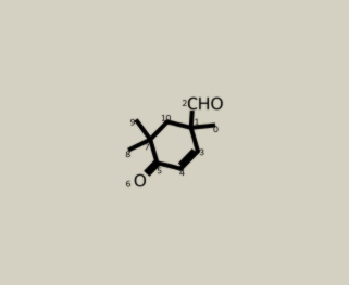 CC1(C=O)C=CC(=O)C(C)(C)C1